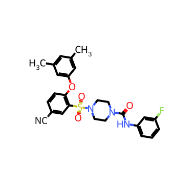 Cc1cc(C)cc(Oc2ccc(C#N)cc2S(=O)(=O)N2CCN(C(=O)Nc3cccc(F)c3)CC2)c1